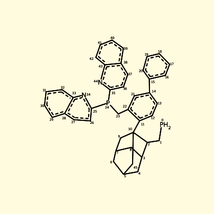 PCC1C2CC3CC(C2)CC1(c1ccc(-c2ccccc2)cc1CP(c1ccc2ccccc2n1)c1ccc2ccccc2n1)C3